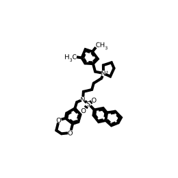 Cc1cc(C)cc(C[N+]2(CCCCN(Cc3ccc4c(c3)OCCO4)S(=O)(=O)c3ccc4ccccc4c3)CCCC2)c1